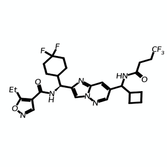 CCc1oncc1C(=O)N[C@H](c1cn2ncc(C(NC(=O)CCC(F)(F)F)C3CCC3)cc2n1)C1CCC(F)(F)CC1